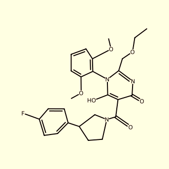 CCOCc1nc(=O)c(C(=O)N2CCC(c3ccc(F)cc3)C2)c(O)n1-c1c(OC)cccc1OC